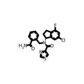 NC(=O)c1ccccc1CN(C(=O)c1cscn1)[C@@H]1CCc2c(F)cc(Cl)cc21